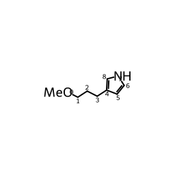 COCCCc1cc[nH]c1